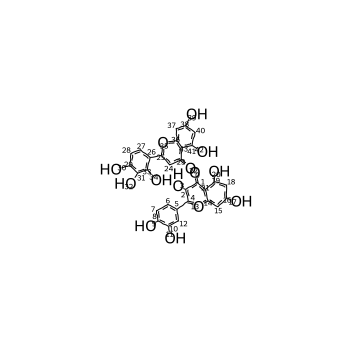 O=c1c(O)c(-c2ccc(O)c(O)c2)oc2cc(O)cc(O)c12.O=c1cc(-c2ccc(O)c(O)c2O)oc2cc(O)cc(O)c12